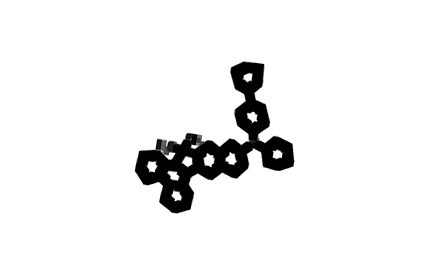 CC1(C)c2cc3cc(N(c4ccccc4)c4ccc(-c5ccccc5)cc4)ccc3cc2-c2c1c1ccccc1c1ccccc21